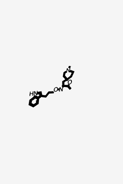 CC1OC2(CCN(C)CC2)CC1=NOCCCc1c[nH]c2ccccc12